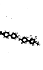 C=CC1CCC(C2CCC(OCC3CC=C(c4ccc(OCC)c(F)c4F)CC3)CC2)CC1